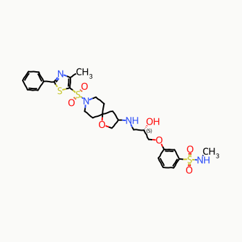 CNS(=O)(=O)c1cccc(OC[C@@H](O)CNC2COC3(CCN(S(=O)(=O)c4sc(-c5ccccc5)nc4C)CC3)C2)c1